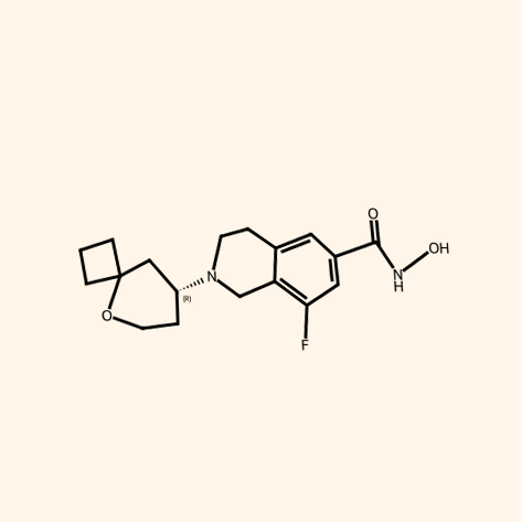 O=C(NO)c1cc(F)c2c(c1)CCN([C@@H]1CCOC3(CCC3)C1)C2